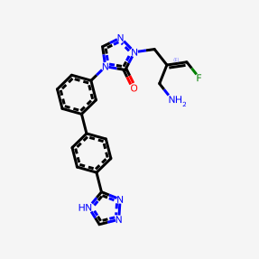 NC/C(=C\F)Cn1ncn(-c2cccc(-c3ccc(-c4nnc[nH]4)cc3)c2)c1=O